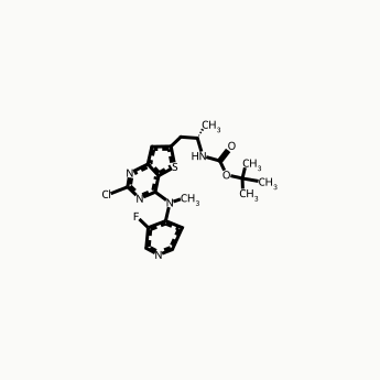 C[C@@H](Cc1cc2nc(Cl)nc(N(C)c3ccncc3F)c2s1)NC(=O)OC(C)(C)C